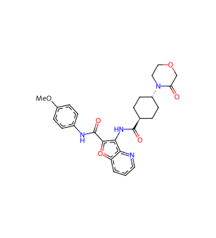 COc1ccc(NC(=O)c2oc3cccnc3c2NC(=O)[C@H]2CC[C@H](N3CCOCC3=O)CC2)cc1